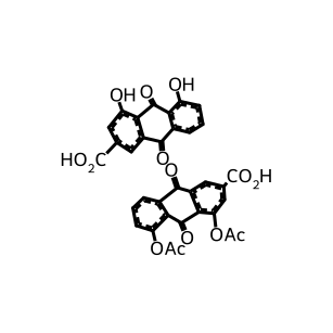 CC(=O)Oc1cccc2c1C(=O)c1c(OC(C)=O)cc(C(=O)O)cc1C2=O.O=C(O)c1cc(O)c2c(c1)C(=O)c1cccc(O)c1C2=O